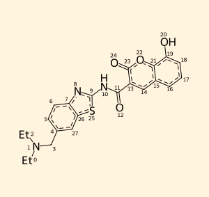 CCN(CC)Cc1ccc2nc(NC(=O)c3cc4cccc(O)c4oc3=O)sc2c1